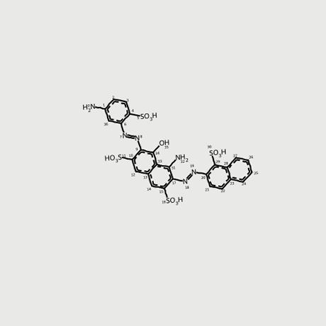 Nc1ccc(S(=O)(=O)O)c(/N=N/c2c(S(=O)(=O)O)cc3cc(S(=O)(=O)O)c(/N=N/c4ccc5ccccc5c4S(=O)(=O)O)c(N)c3c2O)c1